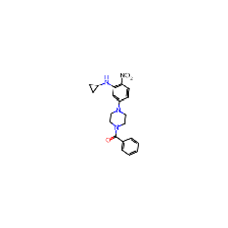 O=C(c1ccccc1)N1CCN(c2ccc([N+](=O)[O-])c(NC3CC3)c2)CC1